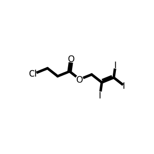 O=C(CCCl)OCC(I)=C(I)I